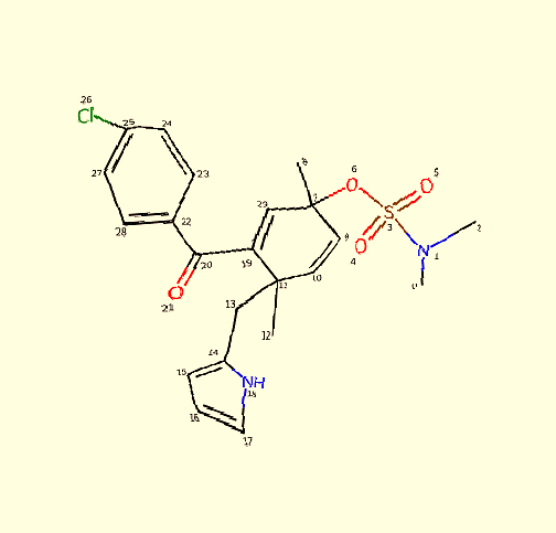 CN(C)S(=O)(=O)OC1(C)C=CC(C)(Cc2ccc[nH]2)C(C(=O)c2ccc(Cl)cc2)=C1